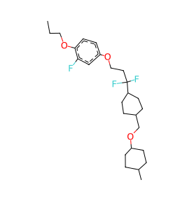 CCCOc1ccc(OCCC(F)(F)C2CCC(COC3CCC(C)CC3)CC2)cc1F